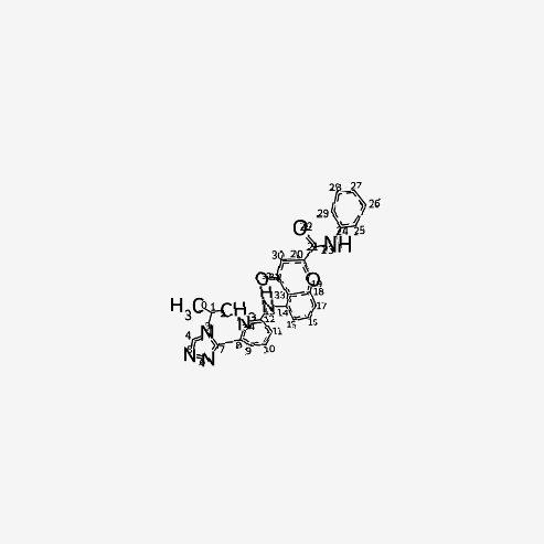 CC(C)n1cnnc1-c1cccc(Nc2cccc3oc(C(=O)Nc4ccccc4)cc(=O)c23)n1